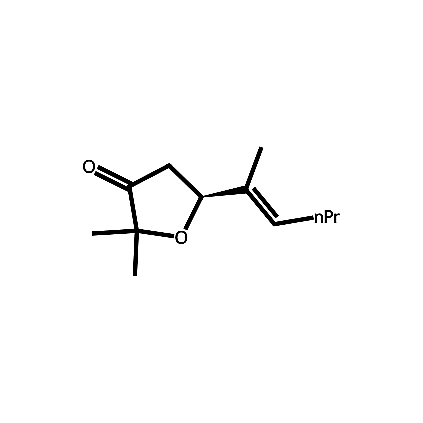 CCC/C=C(\C)[C@@H]1CC(=O)C(C)(C)O1